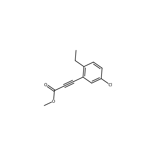 CCc1ccc(Cl)cc1C#CC(=O)OC